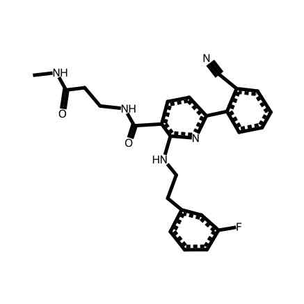 CNC(=O)CCNC(=O)c1ccc(-c2ccccc2C#N)nc1NCCc1cccc(F)c1